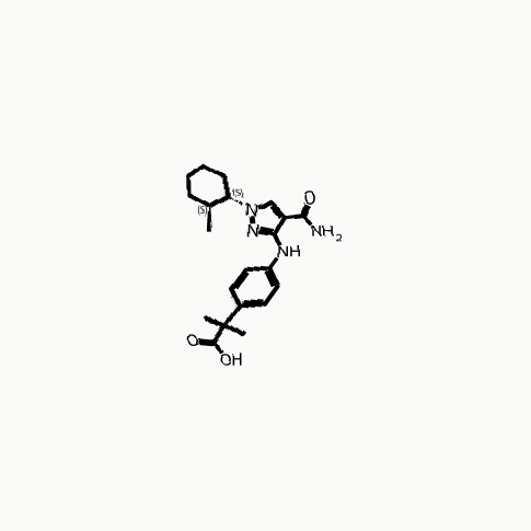 C[C@H]1CCCC[C@@H]1n1cc(C(N)=O)c(Nc2ccc(C(C)(C)C(=O)O)cc2)n1